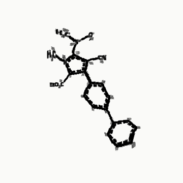 CCOC(=O)c1c(-c2ccc(-c3ccccc3)cc2)c(C#N)c([S+](C)[O-])n1C